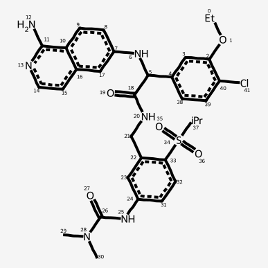 CCOc1cc(C(Nc2ccc3c(N)nccc3c2)C(=O)NCc2cc(NC(=O)N(C)C)ccc2S(=O)(=O)C(C)C)ccc1Cl